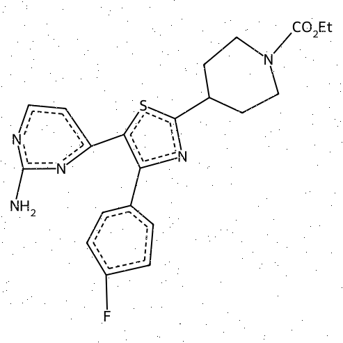 CCOC(=O)N1CCC(c2nc(-c3ccc(F)cc3)c(-c3ccnc(N)n3)s2)CC1